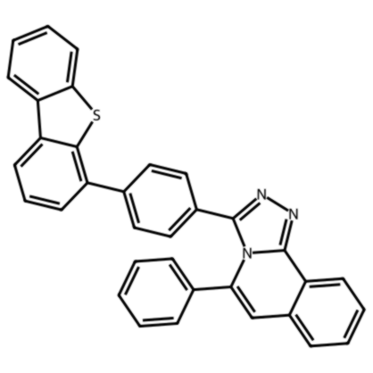 c1ccc(-c2cc3ccccc3c3nnc(-c4ccc(-c5cccc6c5sc5ccccc56)cc4)n23)cc1